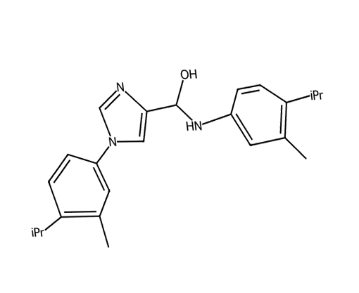 Cc1cc(NC(O)c2cn(-c3ccc(C(C)C)c(C)c3)cn2)ccc1C(C)C